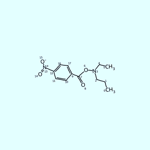 CCCN(CC)OC(=O)c1ccc([N+](=O)[O-])cc1